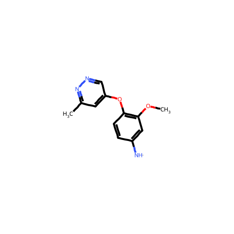 COc1cc([NH])ccc1Oc1cnnc(C)c1